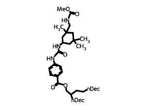 CCCCCCCCCCCCC(CCCCCCCCCC)COC(=O)c1ccc(NC(=O)NC2CC(C)(C)CC(C)(CNC(=O)OC)C2)cc1